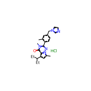 CCC(CC)c1cc(C)n2nc(-c3ccc(Cn4ccnc4)cc3C)n(C)c(=O)c12.Cl